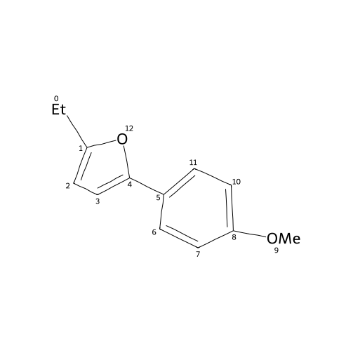 CCc1ccc(-c2ccc(OC)cc2)o1